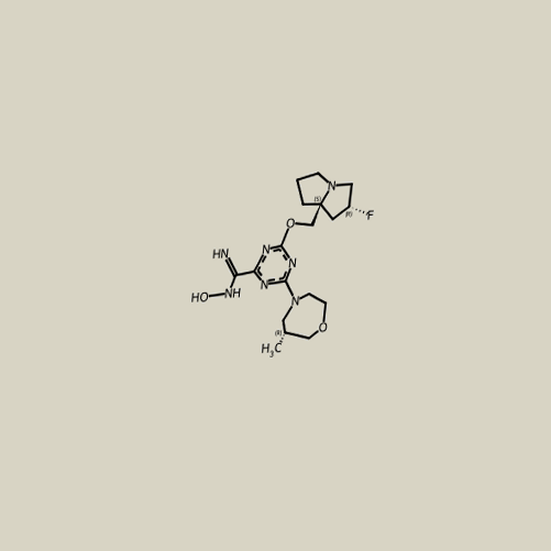 C[C@H]1COCCN(c2nc(OC[C@@]34CCCN3C[C@H](F)C4)nc(C(=N)NO)n2)C1